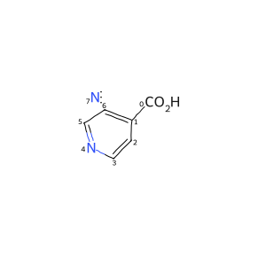 O=C(O)c1ccncc1.[N]